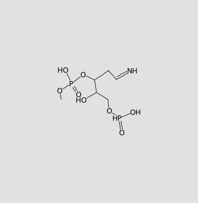 COP(=O)(O)OC(CC=N)C(O)CO[PH](=O)O